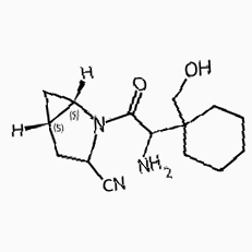 N#CC1C[C@@H]2C[C@@H]2N1C(=O)C(N)C1(CO)CCCCC1